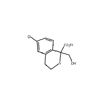 CCOC(=O)C1(CO)SCCc2cc(Cl)ccc21